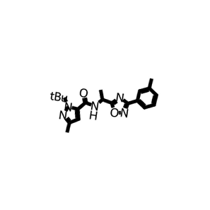 Cc1cccc(-c2noc(C(C)NC(=O)c3cc(C)nn3C(C)(C)C)n2)c1